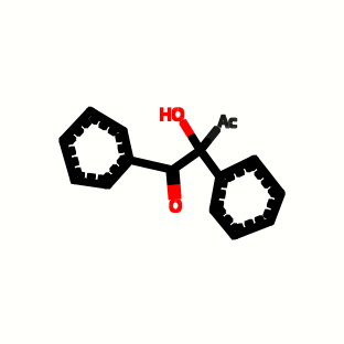 CC(=O)C(O)(C(=O)c1ccccc1)c1ccccc1